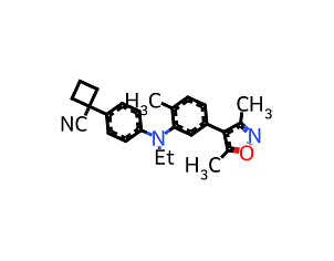 CCN(c1ccc(C2(C#N)CCC2)cc1)c1cc(-c2c(C)noc2C)ccc1C